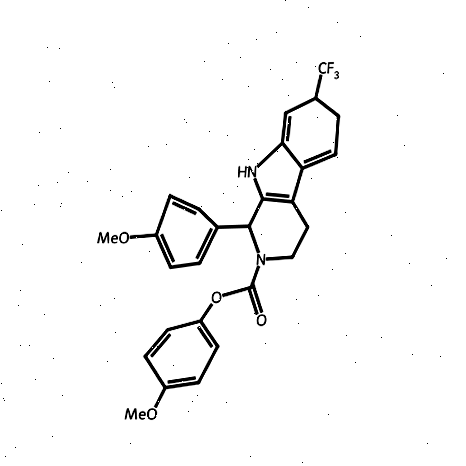 COc1ccc(OC(=O)N2CCc3c([nH]c4c3=CCC(C(F)(F)F)C=4)C2c2ccc(OC)cc2)cc1